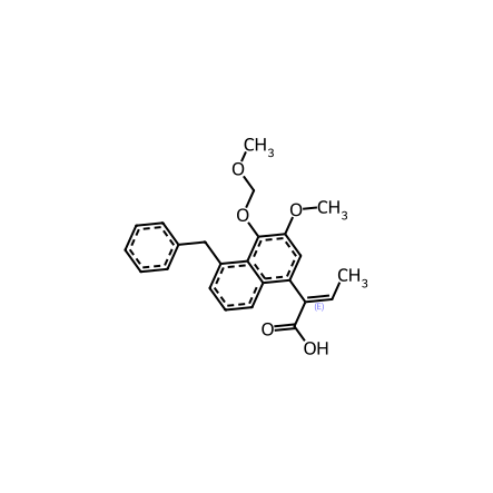 C/C=C(/C(=O)O)c1cc(OC)c(OCOC)c2c(Cc3ccccc3)cccc12